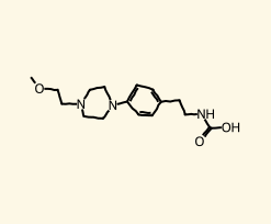 COCCN1CCN(c2ccc(CCNC(=O)O)cc2)CC1